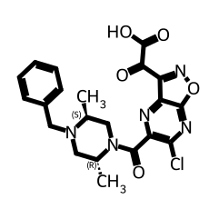 C[C@@H]1CN(Cc2ccccc2)[C@@H](C)CN1C(=O)c1nc2c(C(=O)C(=O)O)noc2nc1Cl